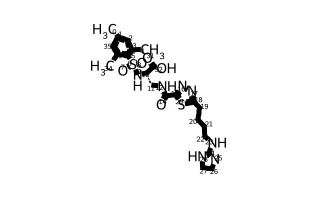 Cc1cc(C)c(S(=O)(=O)N[C@@H](CNC(=O)c2nnc(CCCCNC3=NCCN3)s2)C(=O)O)c(C)c1